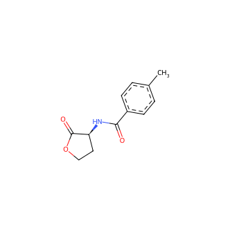 Cc1ccc(C(=O)N[C@H]2CCOC2=O)cc1